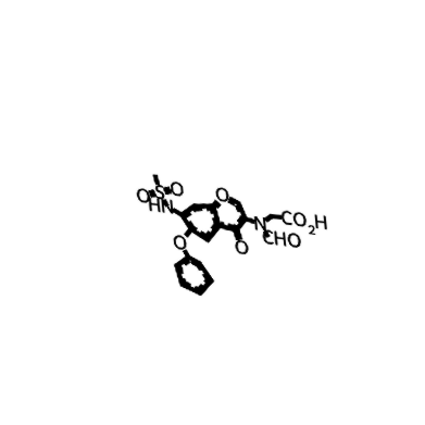 CS(=O)(=O)Nc1cc2occ(N(C=O)CC(=O)O)c(=O)c2cc1Oc1ccccc1